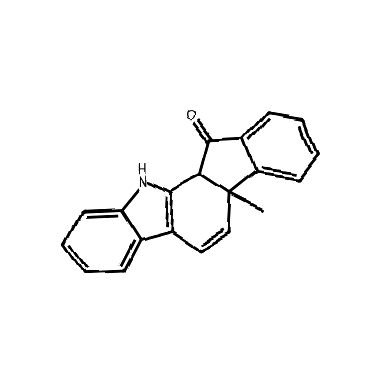 CC12C=Cc3c([nH]c4ccccc34)C1C(=O)c1ccccc12